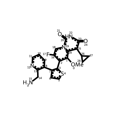 COc1c(-c2sccc2-c2cccnc2CN)c(F)cn2c(=O)[nH]c(=O)c(C3CC3)c12